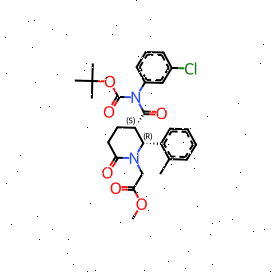 COC(=O)CN1C(=O)CC[C@H](C(=O)N(C(=O)OC(C)(C)C)c2cccc(Cl)c2)[C@@H]1c1ccccc1C